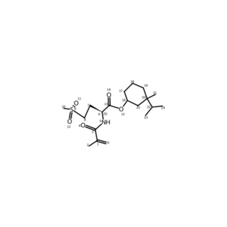 C=C(C)C(=O)N[C@@H](CCS(C)(=O)=O)C(=O)OC1CCCC(C)(C(C)C)C1